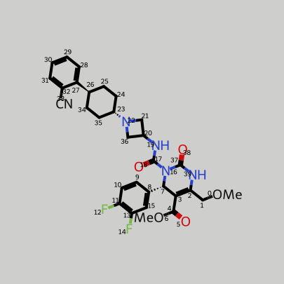 COCC1=C(C(=O)OC)[C@H](c2ccc(F)c(F)c2)N(C(=O)NC2CN([C@H]3CC[C@H](c4ccccc4C#N)CC3)C2)C(=O)N1